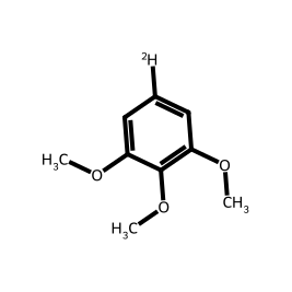 [2H]c1cc(OC)c(OC)c(OC)c1